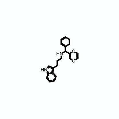 C1=CCCC(C(NCCCc2c[nH]c3ccccc23)C2=COC=CO2)=C1